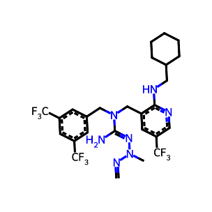 C=NN(C)/N=C(\N)N(Cc1cc(C(F)(F)F)cc(C(F)(F)F)c1)Cc1cc(C(F)(F)F)cnc1NCC1CCCCC1